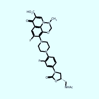 CC(=O)NC[C@H]1CN(c2ccc(N3CCN(c4c(F)cc5c(=O)c(C(=O)O)cn6c5c4OCN6C)CC3)c(F)c2)C(=O)O1